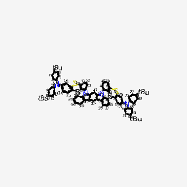 CC(C)(C)c1ccc(N(c2ccc(C(C)(C)C)cc2)c2ccc3c(c2)Sc2cccc4c2B3c2cccc3c5cc6c7cccc8c7n(c6cc5n-4c23)-c2cccc3c2B8c2ccc(N(c4ccc(C(C)(C)C)cc4)c4ccc(C(C)(C)C)cc4)cc2S3)cc1